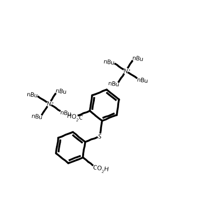 CCCC[N+](CCCC)(CCCC)CCCC.CCCC[N+](CCCC)(CCCC)CCCC.O=C(O)c1ccccc1Sc1ccccc1C(=O)O